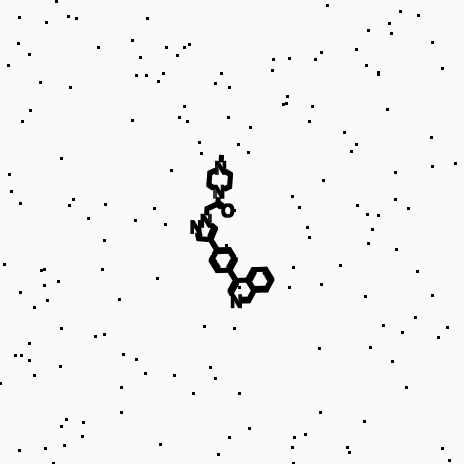 CN1CCN(C(=O)Cn2cc(-c3ccc(-c4cncc5ccccc45)cc3)cn2)CC1